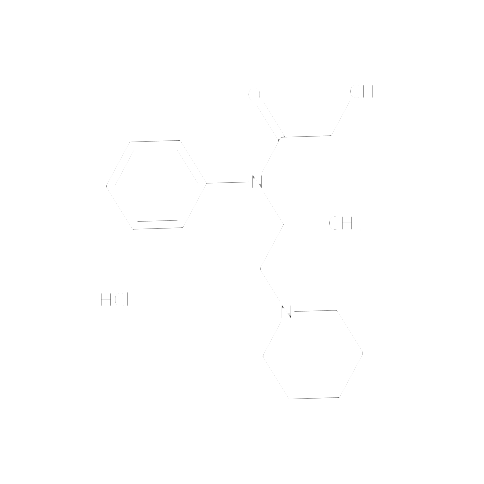 CCC(=O)N(c1ccccc1)[C@H](C)CN1CCCCC1.Cl